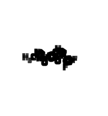 Cc1nccc(C(=O)N2CCC3(CC2)O[C@@H]2CC[C@@H](c4cc(F)cc(F)c4)N2C3=O)n1